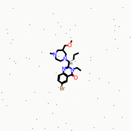 CCC[C@H](c1nc2ccc(Br)cc2c(=O)n1CC)N1CCN(C)CC(COC)C1